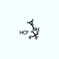 Cl.FC(F)(F)CNC1CC1